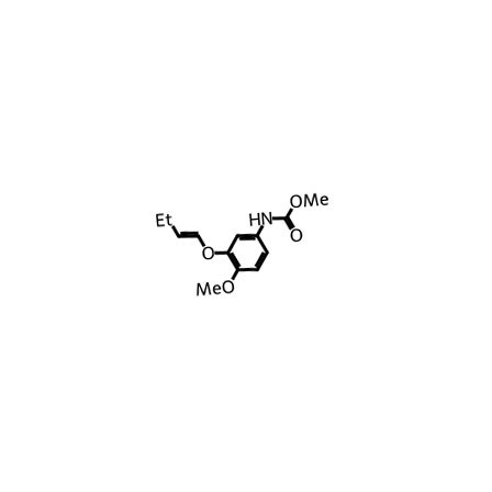 CCC=COc1cc(NC(=O)OC)ccc1OC